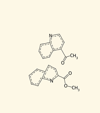 CC(=O)c1ccnc2ccccc12.COC(=O)c1ccc2ccccc2n1